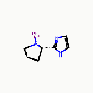 PN1CCC[C@H]1c1ncc[nH]1